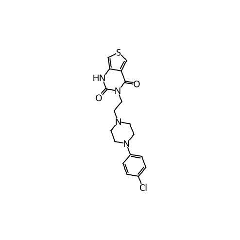 O=c1[nH]c2cscc2c(=O)n1CCN1CCN(c2ccc(Cl)cc2)CC1